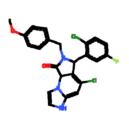 COc1ccc(CN2C(=O)C3C(=C(Cl)C=C4NC=CN43)C2c2cc(F)ccc2Cl)cc1